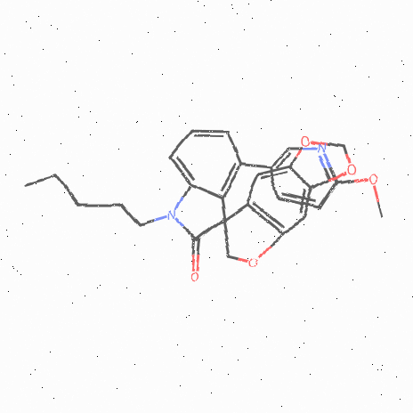 CCCCCN1C(=O)C2(COc3cc4c(cc32)OCO4)c2c(-c3ccc(OC)nc3)cccc21